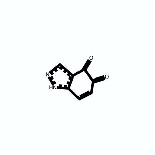 O=C1C=Cc2[nH]ncc2C1=O